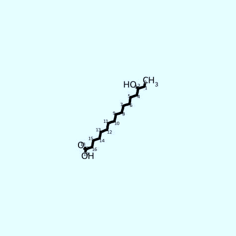 CCC(O)CCCCCCCCCCCCCC(=O)O